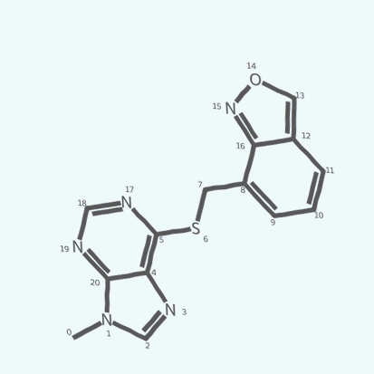 Cn1cnc2c(SCc3cccc4conc34)ncnc21